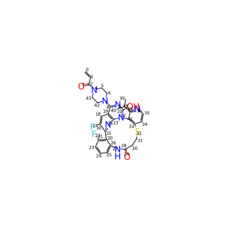 C=CC(=O)N1CCN(C2=NC(O)N3c4nc(c(F)cc42)-c2c(F)cccc2NC(=O)CCSc2ccnc(C(C)C)c23)CC1